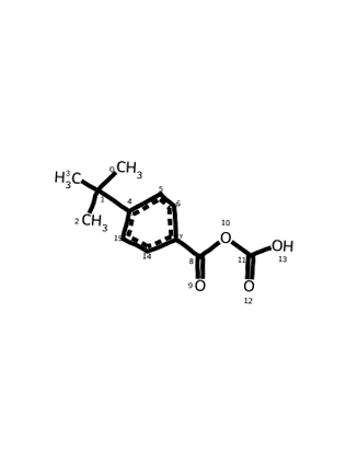 CC(C)(C)c1ccc(C(=O)OC(=O)O)cc1